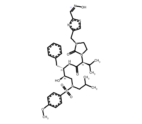 COc1ccc(S(=O)(=O)N(CC(C)C)C[C@@H](O)[C@H](Cc2ccccc2)NC(=O)[C@H](C(C)C)N2CCN(Cc3csc(/C=N\O)n3)C2=O)cc1